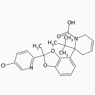 CC1(c2ccc(Cl)cn2)Oc2cccc(C3(C(C)(C)C)CC=CCN3C(=O)O)c2O1